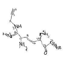 C#CCNC(=N)C(N)C=CC(N)C(=O)OC